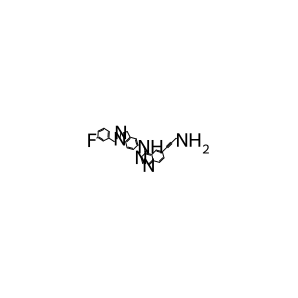 NCC#Cc1ccc2ncnc(Nc3ccc4c(cnn4Cc4cccc(F)c4)c3)c2c1